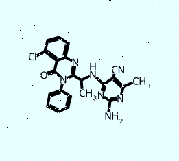 Cc1nc(N)nc(NC(C)c2nc3cccc(Cl)c3c(=O)n2-c2ccccc2)c1C#N